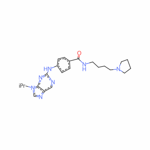 CC(C)n1cnc2cnc(Nc3ccc(C(=O)NCCCCN4CCCC4)cc3)nc21